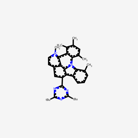 Cc1cc(C)c2c(c1C)c1c3c(cc[n+]1C)cc(-c1nc(C(C)(C)C)nc(C(C)(C)C)n1)c1c4cccc(C)c4n2c13